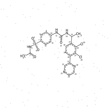 CC(=O)NS(=O)(=O)c1ccc(NC(=O)NC(C)c2ccc(-c3cnccn3)c(Cl)c2Cl)cc1